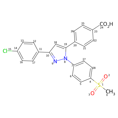 CS(=O)(=O)c1ccc(-n2nc(-c3ccc(Cl)cc3)cc2-c2ccc(C(=O)O)cc2)cc1